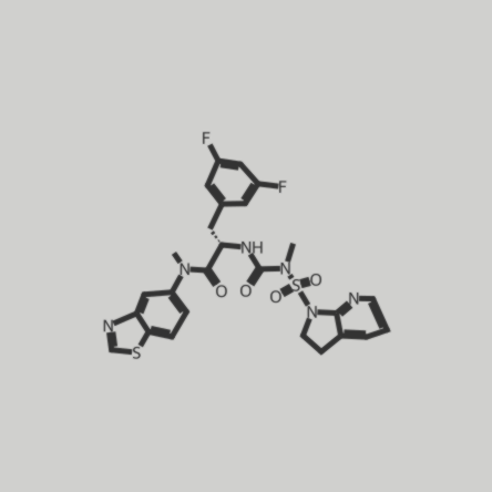 CN(C(=O)[C@H](Cc1cc(F)cc(F)c1)NC(=O)N(C)S(=O)(=O)N1CCc2cccnc21)c1ccc2scnc2c1